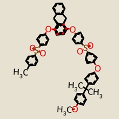 COc1ccc(C(C)(C)c2ccc(Oc3ccc(S(=O)(=O)c4ccc(Oc5ccc(Oc6ccc(S(=O)(=O)c7ccc(C)cc7)cc6)c6c5C5c7ccccc7C6c6ccccc65)cc4)cc3)cc2)cc1